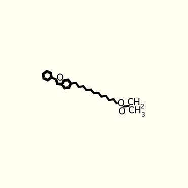 C=C(C)C(=O)OCCCCCCCCCCCCc1ccc2cc(-c3ccccc3)oc2c1